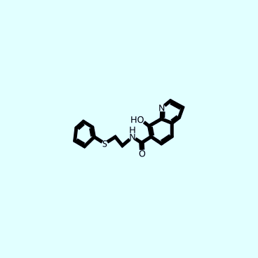 O=C(NCCSc1ccccc1)c1ccc2cccnc2c1O